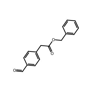 O=Cc1ccc(CC(=O)OCc2ccccc2)cc1